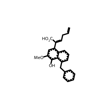 C=CCC=C(C(=O)O)c1cc(OC)c(O)c2c(Cc3ccccc3)cccc12